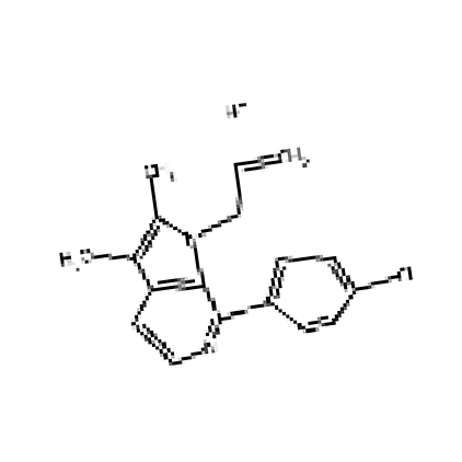 C=CCn1c(C)c(C)c2ccnc(-c3ccc(Cl)cc3)c21.Cl